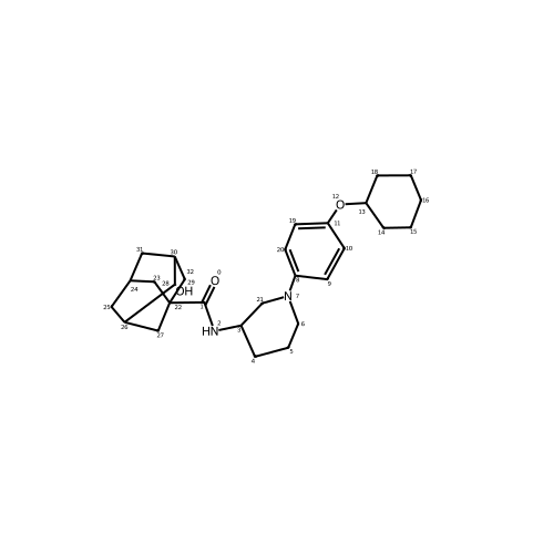 O=C(NC1CCCN(c2ccc(OC3CCCCC3)cc2)C1)C12CC3CC(C1)C(O)C(C3)C2